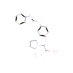 CC(O)C(Oc1ccc(Oc2nc3ccccc3o2)cc1)N1CCCC1